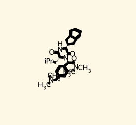 CC(C)C[C@@H]1C(=O)N[C@H](C2Cc3ccccc3C2)C(=O)N1[C@@H](C(=O)N(C)C)c1ccc(CN(C)C)cc1F